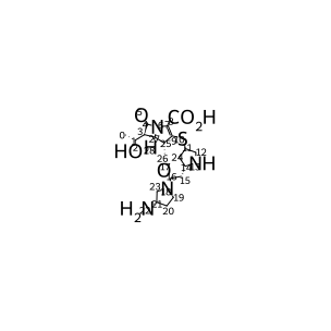 C[C@@H](O)[C@H]1C(=O)N2C(C(=O)O)=C(S[C@@H]3CN[C@H](CC(=O)N4CC[C@H](N)C4)C3)[C@H](C)[C@H]12